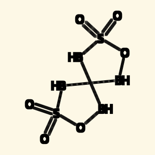 O=S1(=O)BC2(BO1)BOS(=O)(=O)B2